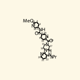 COc1ccc(NC(=O)c2ccc(C(=O)N3CCN(c4ncccc4NC(C)C)CC3)nc2)cn1